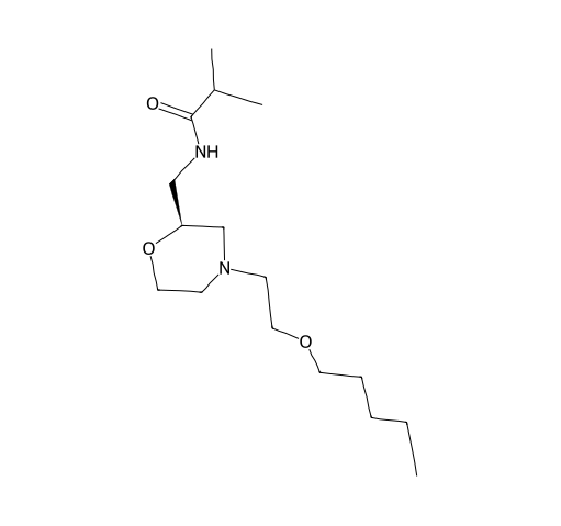 CCCCCOCCN1CCO[C@@H](CNC(=O)C(C)C)C1